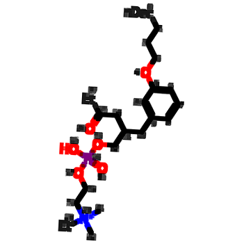 CCCCCCCCCCCCCOc1cccc(CC(COP(=O)(O)OCC[N+](C)(C)CC)CC(=O)CC)c1